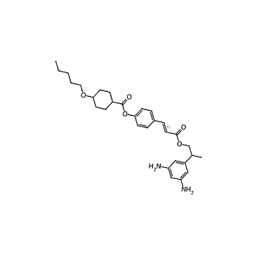 CCCCCOC1CCC(C(=O)Oc2ccc(/C=C/C(=O)OCC(C)c3cc(N)cc(N)c3)cc2)CC1